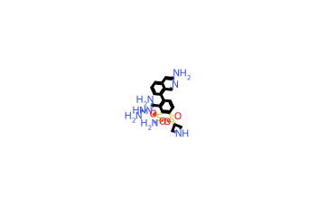 NN/N=C(\N)c1c(-c2cccc3cc(N)ncc23)ccc(S(=O)(=O)C2CNC2)c1S(N)(=O)=O